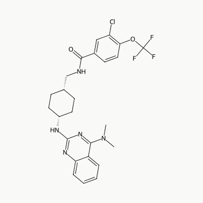 CN(C)c1nc(N[C@H]2CC[C@@H](CNC(=O)c3ccc(OC(F)(F)F)c(Cl)c3)CC2)nc2ccccc12